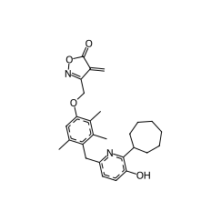 C=C1C(=O)ON=C1COc1cc(C)c(Cc2ccc(O)c(C3CCCCCC3)n2)c(C)c1C